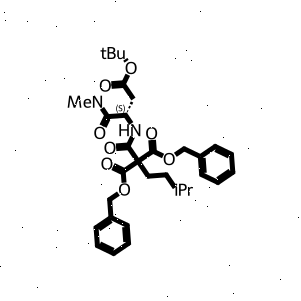 CNC(=O)[C@H](CC(=O)OC(C)(C)C)NC(=O)C(CCC(C)C)(C(=O)OCc1ccccc1)C(=O)OCc1ccccc1